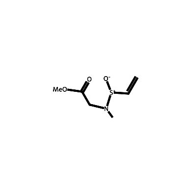 C=C[S+]([O-])N(C)CC(=O)OC